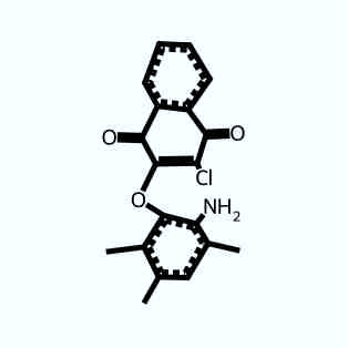 Cc1cc(C)c(N)c(OC2=C(Cl)C(=O)c3ccccc3C2=O)c1C